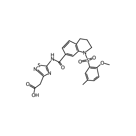 COc1ccc(C)cc1S(=O)(=O)N1CCCc2ccc(C(=O)Nc3nc(CC(=O)O)ns3)cc21